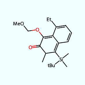 CCc1cccc2c1=C(OCOC)C(=O)C(C)C=2[Si](C)(C)C(C)(C)C